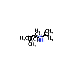 C=CC(=C/C(C)(C)C(=N)/N=C/C(C=C)=C/C)/C=C/C